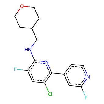 Fc1cc(-c2nc(NCC3CCOCC3)c(F)cc2Cl)ccn1